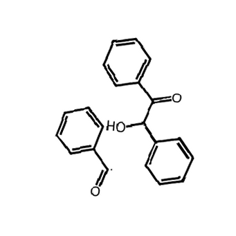 O=C(c1ccccc1)C(O)c1ccccc1.O=[C]c1ccccc1